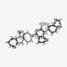 Cc1nc(N2CCC3(CC2)Cc2ncccc2[C@H]3N)c2ccnn2c1-c1ccc2scnc2c1